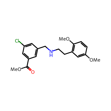 COC(=O)c1cc(Cl)cc(CNCCc2cc(OC)ccc2OC)c1